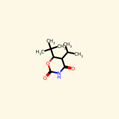 CC(C)C1C(=O)NC(=O)OC1C(C)(C)C